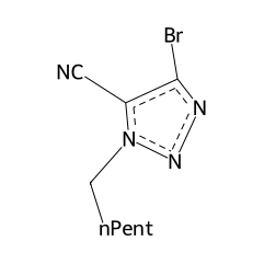 CCCCCCn1nnc(Br)c1C#N